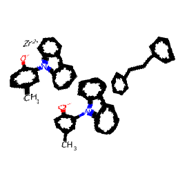 Cc1ccc([O-])c(-n2c3ccccc3c3ccccc32)c1.Cc1ccc([O-])c(-n2c3ccccc3c3ccccc32)c1.[Zr+2].c1ccc(CCc2ccccc2)cc1